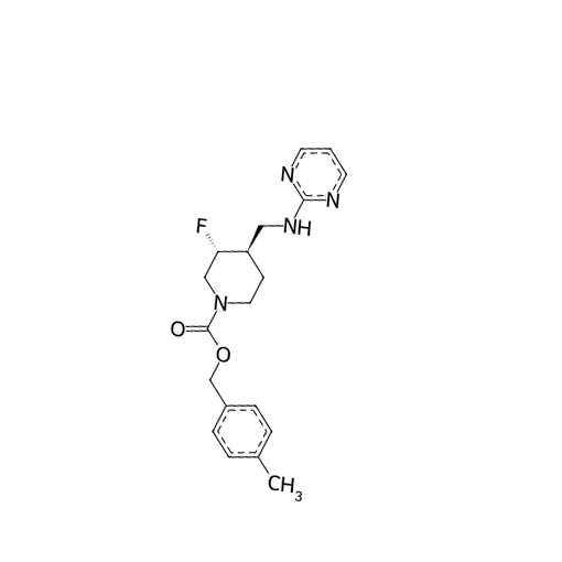 Cc1ccc(COC(=O)N2CC[C@H](CNc3ncccn3)[C@@H](F)C2)cc1